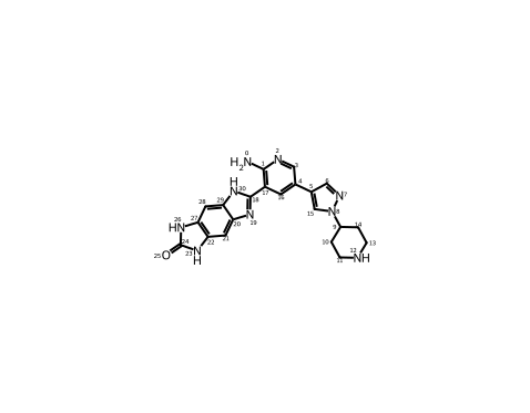 Nc1ncc(-c2cnn(C3CCNCC3)c2)cc1-c1nc2cc3[nH]c(=O)[nH]c3cc2[nH]1